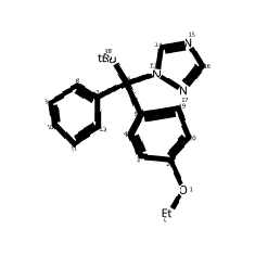 CCOc1ccc(C(c2ccccc2)(n2cncn2)C(C)(C)C)cc1